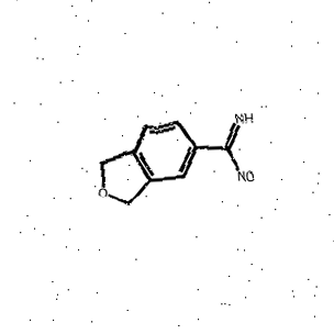 N=C(N=O)c1ccc2c(c1)COC2